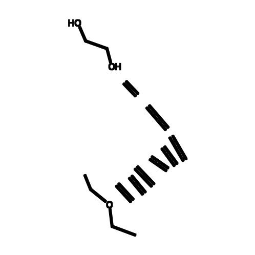 C=C.C=C.C=C.C=C.C=C.C=C.C=C.C=C.CCOCC.OCCO